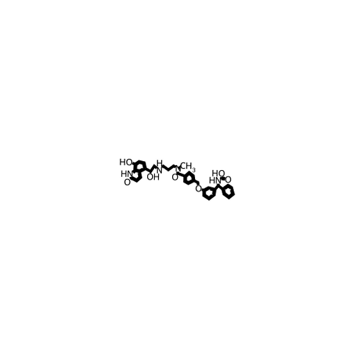 CN(CCCNC[C@@H](O)c1ccc(O)c2[nH]c(=O)ccc12)C(=O)c1ccc(COc2cccc(C(NC(=O)O)c3ccccc3)c2)cc1